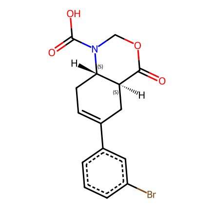 O=C1OCN(C(=O)O)[C@H]2CC=C(c3cccc(Br)c3)C[C@H]12